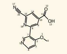 COc1ccncc1-c1cc(C(=O)O)cc(C#N)n1